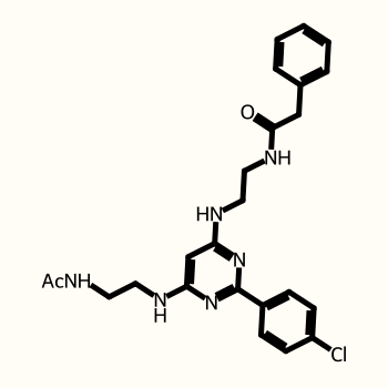 CC(=O)NCCNc1cc(NCCNC(=O)Cc2ccccc2)nc(-c2ccc(Cl)cc2)n1